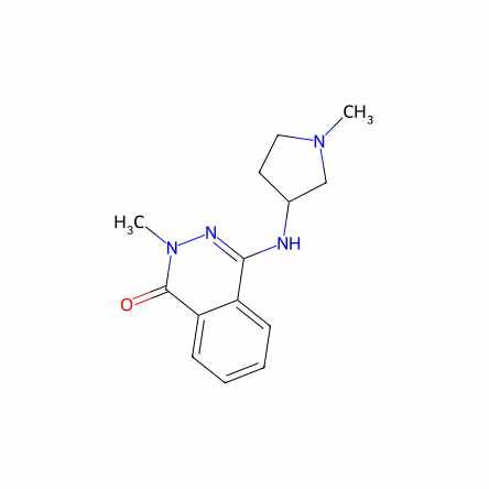 CN1CCC(Nc2nn(C)c(=O)c3ccccc23)C1